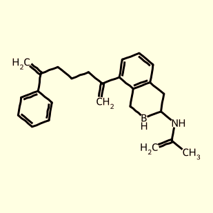 C=C(C)NC1BCc2c(cccc2C(=C)CCCC(=C)c2ccccc2)C1